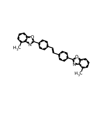 Cc1cccc2oc(-c3ccc(C=Cc4ccc(-c5nc6c(C)cccc6o5)cc4)cc3)nc12